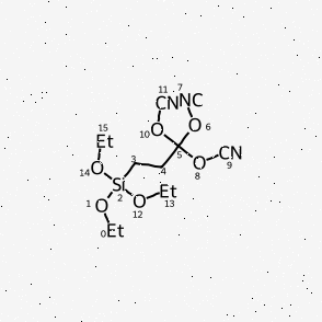 CCO[Si](CCC(OC#N)(OC#N)OC#N)(OCC)OCC